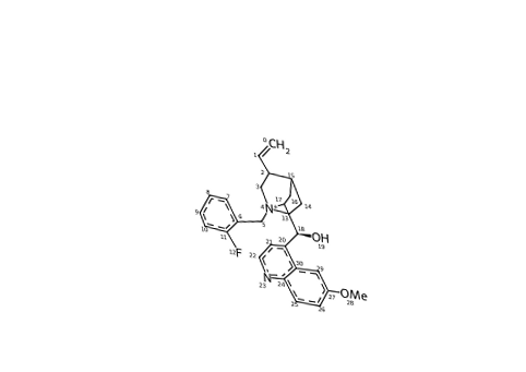 C=CC1C[N+]2(Cc3ccccc3F)CCC1CC2[C@@H](O)c1ccnc2ccc(OC)cc12